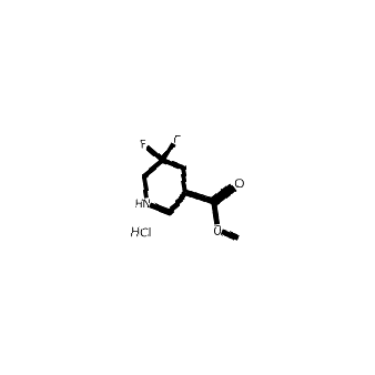 COC(=O)C1CNCC(F)(F)C1.Cl